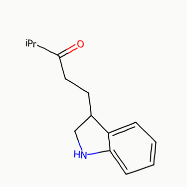 CC(C)C(=O)CCC1CNc2ccccc21